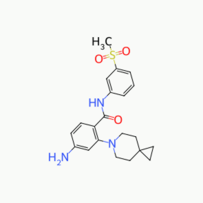 CS(=O)(=O)c1cccc(NC(=O)c2ccc(N)cc2N2CCC3(CC2)CC3)c1